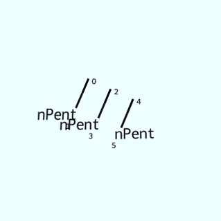 CCCCCC.CCCCCC.CCCCCC